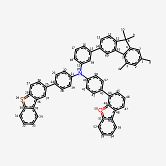 Cc1cc(C)c2c(c1)C(C)(C)c1ccc(-c3cccc(N(c4ccc(-c5ccc6sc7ccccc7c6c5)cc4)c4ccc(-c5cccc6c5oc5ccccc56)cc4)c3)cc1-2